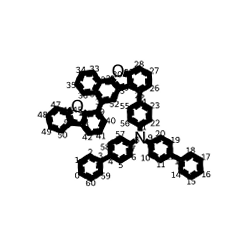 c1ccc(-c2ccc(N(c3ccc(-c4ccccc4)cc3)c3ccc(-c4cccc5oc6c7ccccc7c(-c7cccc8c7oc7ccccc78)cc6c45)cc3)cc2)cc1